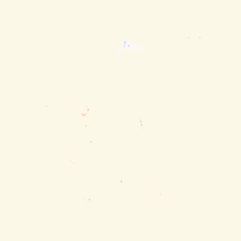 COC(=O)C(Cc1ccnc(C(F)(F)F)c1)C(=O)OC(C)(C)C